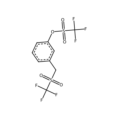 O=S(=O)(Cc1cccc(OS(=O)(=O)C(F)(F)F)c1)C(F)(F)F